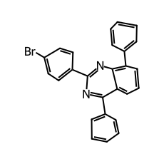 Brc1ccc(-c2nc(-c3ccccc3)c3cccc(-c4ccccc4)c3n2)cc1